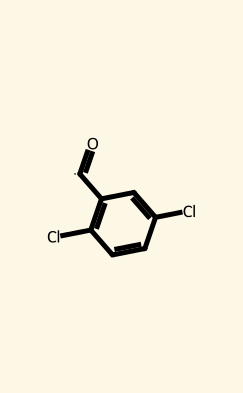 O=[C]c1cc(Cl)ccc1Cl